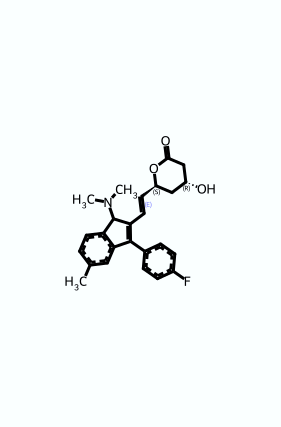 Cc1ccc2c(c1)C(c1ccc(F)cc1)=C(/C=C/[C@@H]1C[C@@H](O)CC(=O)O1)C2N(C)C